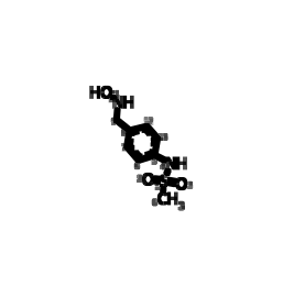 CS(=O)(=O)Nc1ccc(CNO)cc1